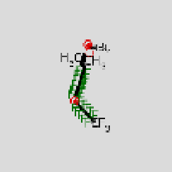 CCC(C)C(=O)OCC(C)(C)CCC(F)(F)C(F)(F)C(F)(F)C(F)(F)C(F)(F)C(F)(F)OC(F)(F)C(F)(F)C(F)(F)C(F)(F)C(F)(F)C(F)(F)F